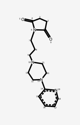 O=C1CCC(=O)N1CCCN1CCN(c2ccccn2)CC1